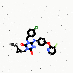 O=C(O)C1C[C@H]1Cn1c(=O)[nH]c(=Nc2ccc(Oc3ncccc3F)cc2)n(Cc2ccc(Cl)cc2)c1=O